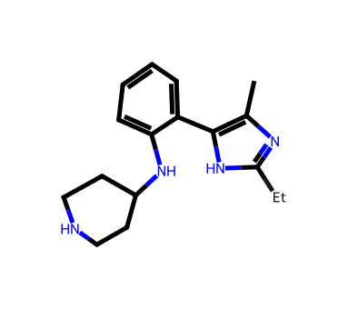 CCc1nc(C)c(-c2ccccc2NC2CCNCC2)[nH]1